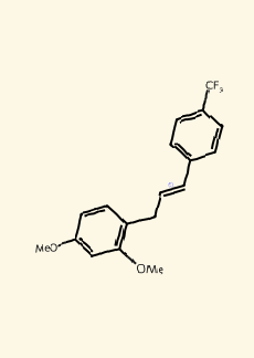 COc1ccc(C/C=C/c2ccc(C(F)(F)F)cc2)c(OC)c1